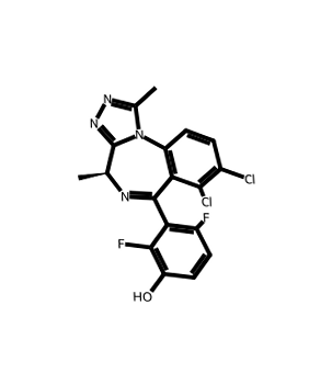 Cc1nnc2n1-c1ccc(Cl)c(Cl)c1C(c1c(F)ccc(O)c1F)=N[C@H]2C